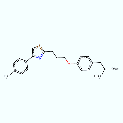 COC(Cc1ccc(OCCCc2nc(-c3ccc(C(F)(F)F)cc3)cs2)cc1)C(=O)O